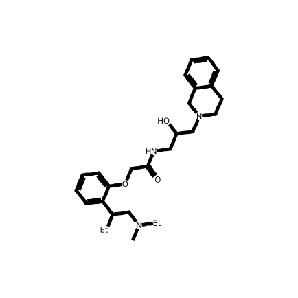 CCC(CN(C)CC)c1ccccc1OCC(=O)NCC(O)CN1CCc2ccccc2C1